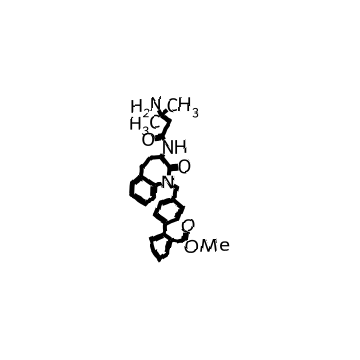 COC(=O)c1ccccc1-c1ccc(CN2C(=O)C(NC(=O)CC(C)(C)N)CCc3ccccc32)cc1